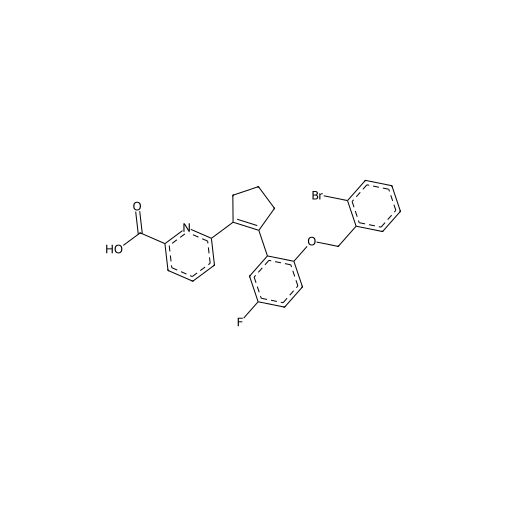 O=C(O)c1cccc(C2=C(c3cc(F)ccc3OCc3ccccc3Br)CCC2)n1